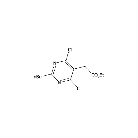 CCCCc1nc(Cl)c(CC(=O)OCC)c(Cl)n1